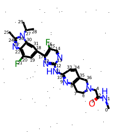 CNC(=O)CN1CCc2nc(Nc3ncc(F)c(-c4cc(F)c5nc(C)n(C(C)C)c5c4)n3)ccc2C1